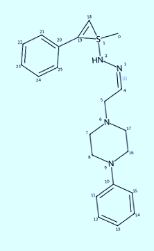 CS1(N/N=C\CN2CCN(c3ccccc3)CC2)C=C1c1ccccc1